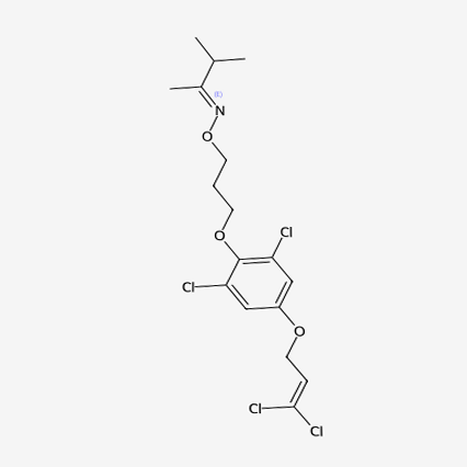 C/C(=N\OCCCOc1c(Cl)cc(OCC=C(Cl)Cl)cc1Cl)C(C)C